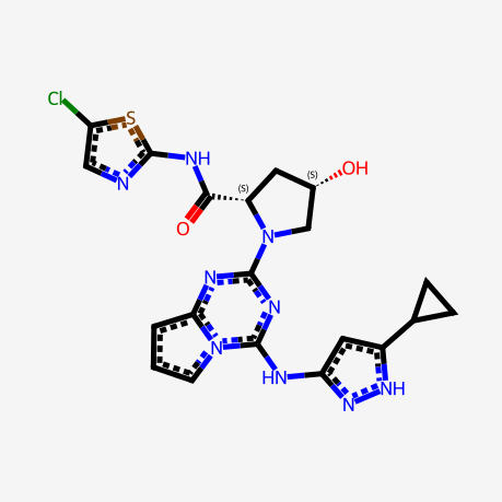 O=C(Nc1ncc(Cl)s1)[C@@H]1C[C@H](O)CN1c1nc(Nc2cc(C3CC3)[nH]n2)n2cccc2n1